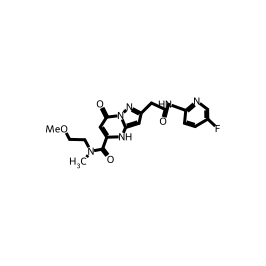 COCCN(C)C(=O)c1cc(=O)n2nc(CC(=O)Nc3ccc(F)cn3)cc2[nH]1